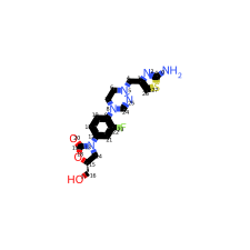 Nc1nc(CN2CCN(c3ccc(N4C[C@H](CO)OC4=O)cc3F)C=N2)cs1